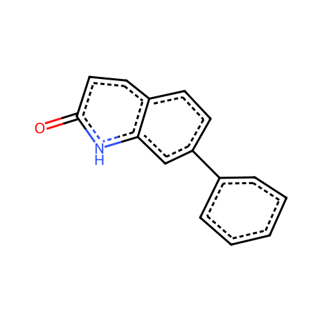 O=c1ccc2ccc(-c3ccccc3)cc2[nH]1